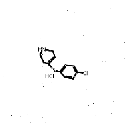 Cl.Clc1ccc(SC2=CCNCC2)cc1